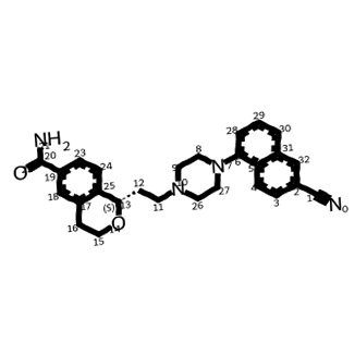 N#Cc1ccc2c(N3CCN(CC[C@@H]4OCCc5cc(C(N)=O)ccc54)CC3)cccc2c1